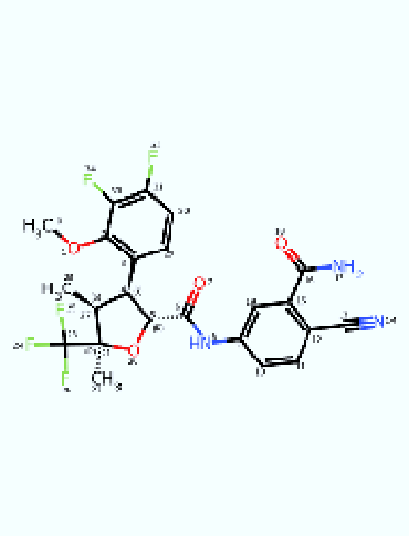 COc1c([C@H]2[C@H](C(=O)Nc3ccc(C#N)c(C(N)=O)c3)O[C@@](C)(C(F)(F)F)[C@H]2C)ccc(F)c1F